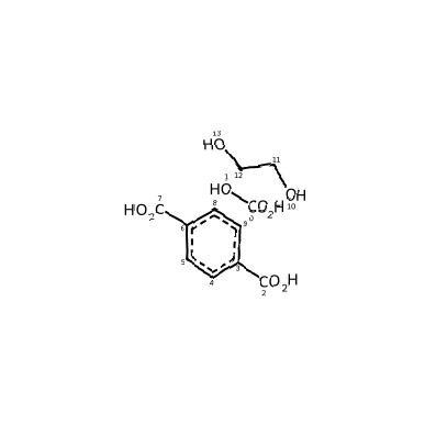 O=C(O)O.O=C(O)c1ccc(C(=O)O)cc1.OCCO